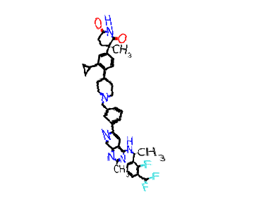 Cc1nc(N[C@H](C)c2cccc(C(F)F)c2F)c2cc(-c3cccc(CN4CCC(c5ccc([C@@]6(C)CCC(=O)NC6=O)cc5C5CC5)CC4)c3)ncc2n1